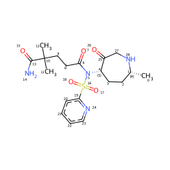 C[C@@H]1CC[C@H](N(C(=O)[CH]CC(C)(C)C(N)=O)S(=O)(=O)c2ccccn2)C(=O)CN1